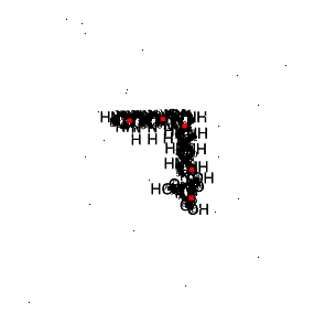 C1CNCCNCCN1.C1CNCCNCCN1.C1CNCCNCCN1.C1CNCCNCCN1.C1CNCCNCCN1.C1CNCCNCCN1.C1CNCCNCCN1.C1CNCCNCCN1.O=C(O)CN1CCN(CC(=O)O)CCN(CC(=O)O)CC1